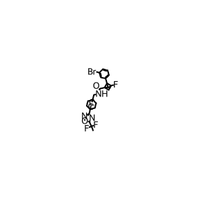 CC(F)(F)c1nc(C23CCC(CNC(=O)C45CC(F)(C4)C5c4cccc(Br)c4)(CC2)CC3)no1